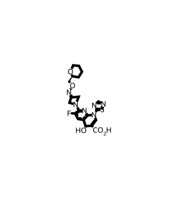 O=C(O)C1=CN(c2ncns2)c2nc(N3CC(=NOC[C@@H]4CCCCO4)C3)c(F)cc2C1O